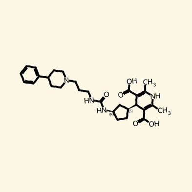 CC1=C(C(=O)O)C([C@H]2CC[C@@H](NC(=O)NCCCN3CCC(c4ccccc4)CC3)C2)C(C(=O)O)=C(C)N1